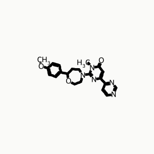 COc1ccc(C2CCN(c3nc(-c4ccncn4)cc(=O)n3C)CCO2)cc1